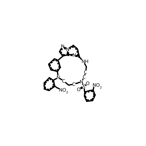 O=[N+]([O-])c1ccccc1N1CCCN(S(=O)(=O)c2ccccc2[N+](=O)[O-])CCCNc2ccn3ncc(c3n2)-c2cccc1c2